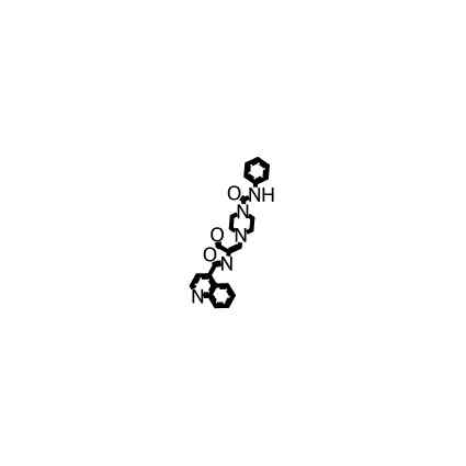 O=C1OC(c2ccnc3ccccc23)=N/C1=C/N1CCN(C(=O)Nc2ccccc2)CC1